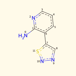 Nc1ncccc1-c1cnns1